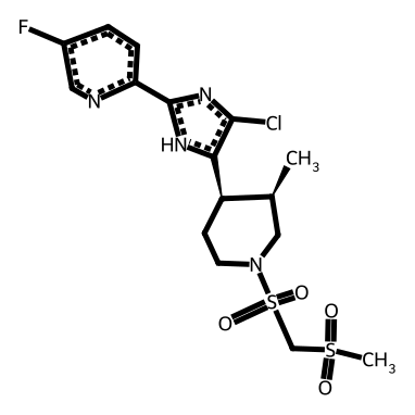 C[C@H]1CN(S(=O)(=O)CS(C)(=O)=O)CC[C@H]1c1[nH]c(-c2ccc(F)cn2)nc1Cl